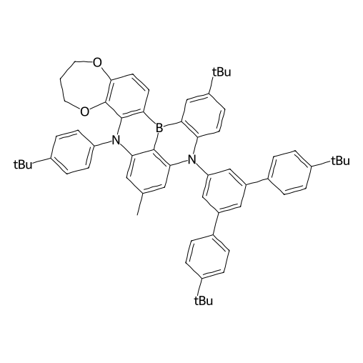 Cc1cc2c3c(c1)N(c1ccc(C(C)(C)C)cc1)c1c(ccc4c1OCCCO4)B3c1cc(C(C)(C)C)ccc1N2c1cc(-c2ccc(C(C)(C)C)cc2)cc(-c2ccc(C(C)(C)C)cc2)c1